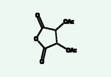 CC(=O)OC1C(=O)OC(=O)C1OC(C)=O